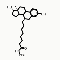 CCCCNC(=O)CCCCCCC[C@@H]1Cc2cc(O)ccc2C2CC[C@@]3(C)C(CC[C@@H]3O)C21